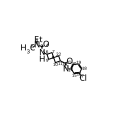 CCN(C)C(=O)NC1CC2(C1)CC(c1nc3cc(Cl)ccc3o1)C2